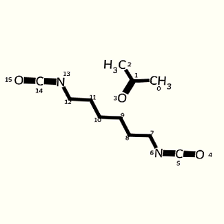 CC(C)=O.O=C=NCCCCCCN=C=O